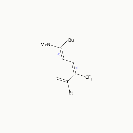 C=C(CC)/C(=C\C=C(\NC)C(C)CC)C(F)(F)F